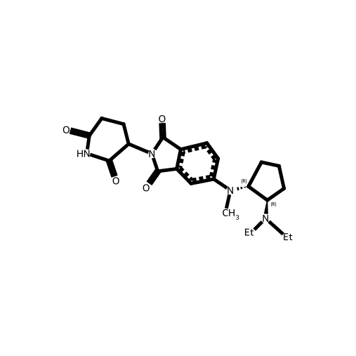 CCN(CC)[C@@H]1CCC[C@H]1N(C)c1ccc2c(c1)C(=O)N(C1CCC(=O)NC1=O)C2=O